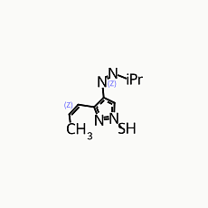 C/C=C\c1nn(S)cc1/N=N\C(C)C